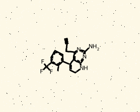 C#CCc1nc(N)nc2c1C(c1cccc(C(F)(F)F)c1C)=CCN2